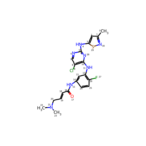 Cc1cc(Nc2ncc(Cl)c(Nc3cc(NC(=O)/C=C/CN(C)C)ccc3F)n2)sn1